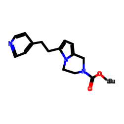 CC(C)(C)OC(=O)N1CCn2c(CCc3ccncc3)ccc2C1